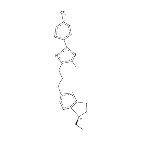 Cc1sc(-c2ccc(C(F)(F)F)cc2)nc1CCOc1ccc2c(c1)CC[C@H]2CI